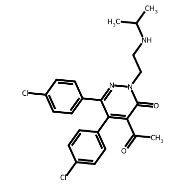 CC(=O)c1c(-c2ccc(Cl)cc2)c(-c2ccc(Cl)cc2)nn(CCNC(C)C)c1=O